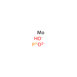 [Mo].[O-2].[OH-].[P-3]